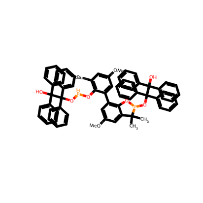 COc1cc(-c2cc(OC)cc3c2OP(OC(c2ccccc2)(c2ccccc2)C(O)(c2ccccc2)c2ccccc2)C3(C)C)c(OPOC(c2ccccc2)(c2ccccc2)C(O)(c2ccccc2)c2ccccc2)c(C(C)(C)C)c1